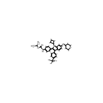 CC(C)OC(=O)Nc1ccc(-c2c(-c3ccc(C(F)(F)F)cc3)c3ccc(OC4CCOCC4)cc3n2C2CCC2)cc1